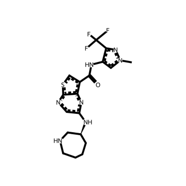 Cn1cc(NC(=O)c2csc3ncc(N[C@H]4CCCCNC4)nc23)c(C(F)(F)F)n1